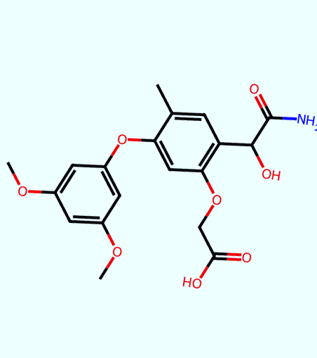 COc1cc(OC)cc(Oc2cc(OCC(=O)O)c(C(O)C(N)=O)cc2C)c1